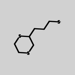 [S]CCCC1CSCCS1